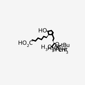 CCCCCC(C)[C@H](CCC1=CC[C@H](O)[C@@H]1CCCCCCC(=O)O)O[Si](C)(C)C(C)(C)C